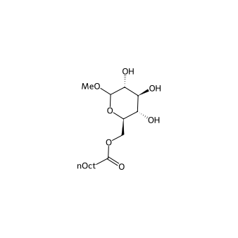 CCCCCCCCC(=O)OC[C@H]1OC(OC)[C@H](O)[C@@H](O)[C@@H]1O